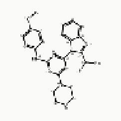 COc1ccc(Nc2nc(N3CCOCC3)cc(-n3c(C(F)F)nc4ccccc43)n2)cc1